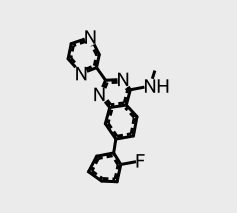 CNc1nc(-c2cnccn2)nc2cc(-c3ccccc3F)ccc12